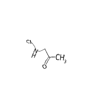 CC(=O)CNCl